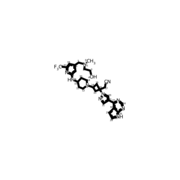 CN(CCO)Cc1cc(NC2CCN(C3CC(CC#N)(n4cc(-c5ncnc6[nH]ccc56)cn4)C3)CC2)nc(C(F)(F)F)c1